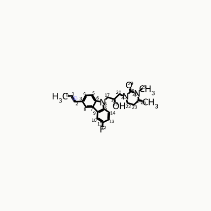 C/C=C/c1ccc2c(c1)c1cc(F)ccc1n2CC(O)CN1CCC(C)N(C)C1=O